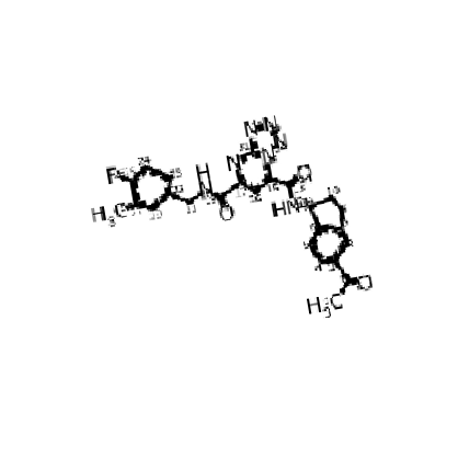 CC(=O)c1ccc2c(c1)CC[C@@H]2NC(=O)c1cc(C(=O)NCc2ccc(F)c(C)c2)nc2nnnn12